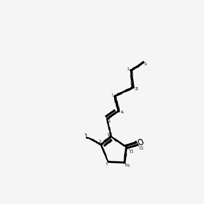 CCCCC=CC1=C(C)CCC1=O